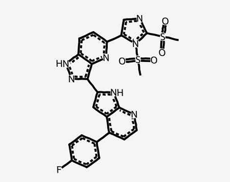 CS(=O)(=O)c1ncc(-c2ccc3[nH]nc(-c4cc5c(-c6ccc(F)cc6)ccnc5[nH]4)c3n2)n1S(C)(=O)=O